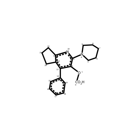 O=C(O)Oc1c(N2CCCCC2)nc2c(c1-c1ccccc1)CCC2